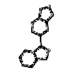 [c]1cccc2c(-c3ccc4cocc4c3)occ12